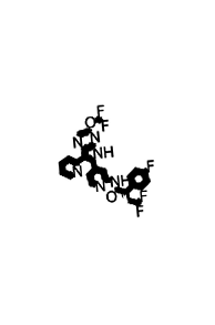 O=C(Nc1cc(-c2[nH]c3nc(OC(F)F)cnc3c2-c2ccccn2)ccn1)[C@H](CC(F)F)c1ccc(F)cc1